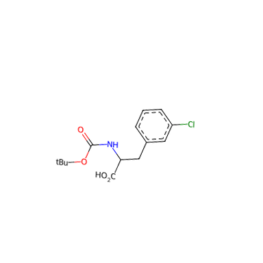 CC(C)(C)OC(=O)NC(Cc1cccc(Cl)c1)C(=O)O